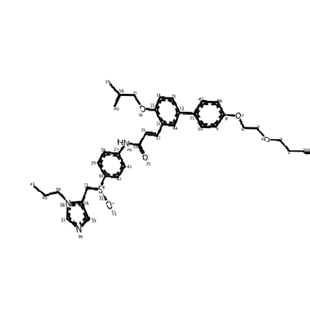 CCCCOCCOc1ccc(-c2ccc(OCC(C)C)c(/C=C/C(=O)Nc3ccc([S@@+]([O-])Cc4cncn4CCC)cc3)c2)cc1